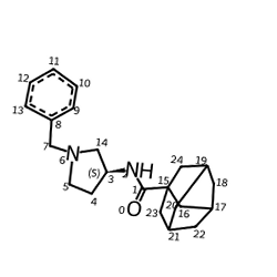 O=C(N[C@H]1CCN(Cc2ccccc2)C1)C12CC3CC(CC(C3)C1)C2